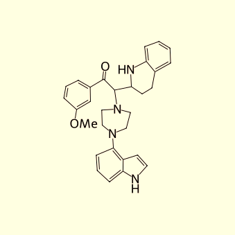 COc1cccc(C(=O)C(C2CCc3ccccc3N2)N2CCN(c3cccc4[nH]ccc34)CC2)c1